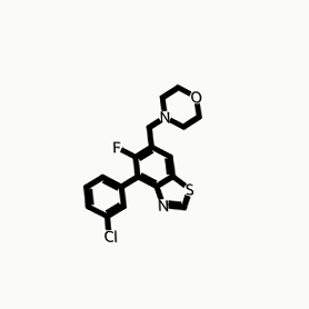 Fc1c(CN2CCOCC2)cc2scnc2c1-c1cccc(Cl)c1